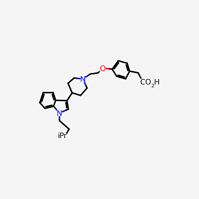 CC(C)CCn1cc(C2CCN(CCOc3ccc(CC(=O)O)cc3)CC2)c2ccccc21